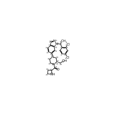 CC(c1ccc(Cl)cc1Cl)n1nnc2ccc(N3CCN(C(=O)C4CCN4)[C@H](CO)C3)cc21